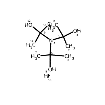 CC(C)(O)N(C(C)(C)O)C(C)(C)O.F